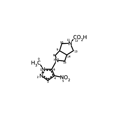 Cn1ncc([N+](=O)[O-])c1N1CC2CN(C(=O)O)CC2C1